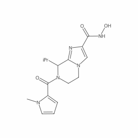 CC(C)C1c2nc(C(=O)NO)cn2CCN1C(=O)c1cccn1C